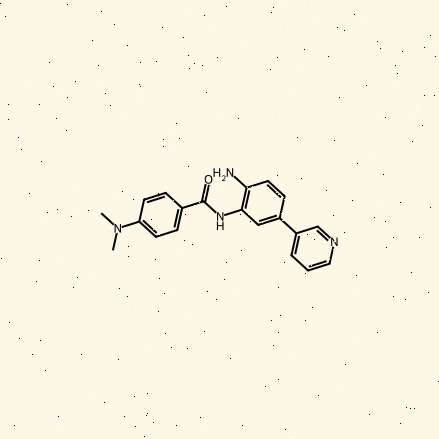 CN(C)c1ccc(C(=O)Nc2cc(-c3cccnc3)ccc2N)cc1